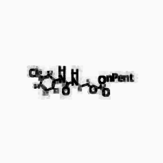 CCCCCOC(=O)OCCNC(=O)Nc1cccc(Cl)c1